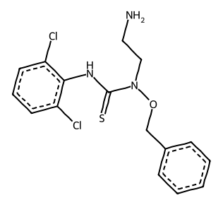 NCCN(OCc1ccccc1)C(=S)Nc1c(Cl)cccc1Cl